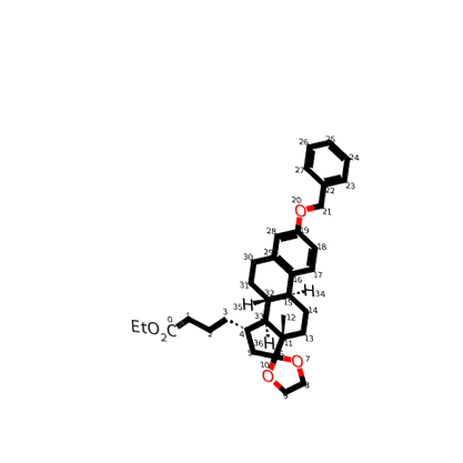 CCOC(=O)CCC[C@H]1CC2(OCCO2)[C@@]2(C)CC[C@@H]3c4ccc(OCc5ccccc5)cc4CC[C@H]3[C@H]12